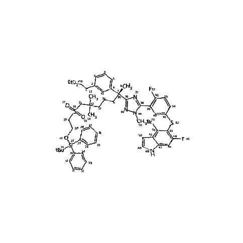 CCOC(=O)Cc1cccc([C@@](C)(CCCC(C)(C)CS(=O)(=O)CCO[Si](c2ccccc2)(c2ccccc2)C(C)(C)C)c2nc(-c3cc(Sc4c(F)cc5[nH]ccc5c4Br)ccc3F)n(C)n2)c1